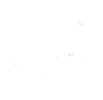 Cc1cc(F)cc([S+]([O-])c2ccc(CNC(=O)c3cc4ccncc4o3)nc2)c1